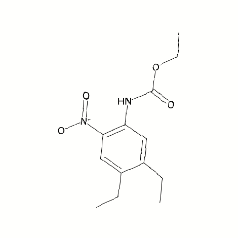 CCOC(=O)Nc1cc(CC)c(CC)cc1[N+](=O)[O-]